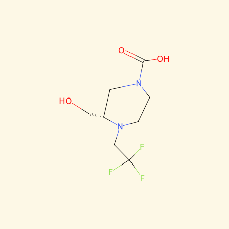 O=C(O)N1CCN(CC(F)(F)F)[C@H](CO)C1